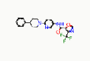 O=C(Nc1ccc(N2CCC(c3ccccc3)CC2)nc1)c1ocnc1C(F)(F)F